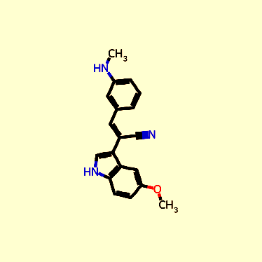 CNc1cccc(/C=C(\C#N)c2c[nH]c3ccc(OC)cc23)c1